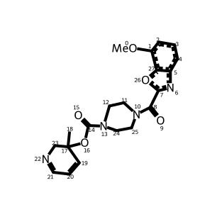 COc1cccc2nc(C(=O)N3CCN(C(=O)OC4(C)C=CC=NC4)CC3)oc12